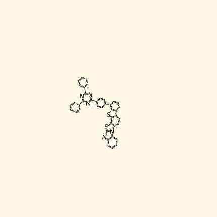 c1ccc(-c2nc(-c3ccccc3)nc(-c3ccc(-c4cccc5c4sc4c5ccc5c4sc4nc6ccccc6n45)cc3)n2)cc1